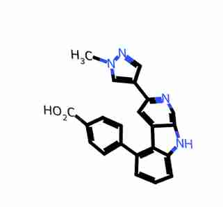 Cn1cc(-c2cc3c(cn2)[nH]c2cccc(-c4ccc(C(=O)O)cc4)c23)cn1